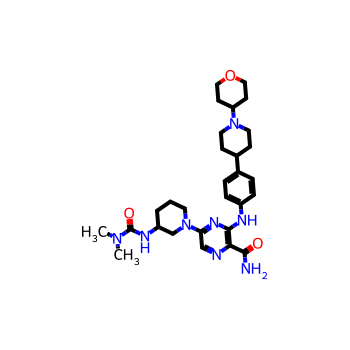 CN(C)C(=O)NC1CCCN(c2cnc(C(N)=O)c(Nc3ccc(C4CCN(C5CCOCC5)CC4)cc3)n2)C1